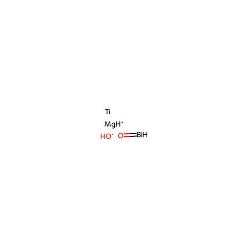 [MgH+].[OH-].[O]=[BiH].[Ti]